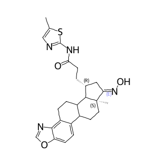 Cc1cnc(NC(=O)CC[C@@H]2C/C(=N\O)[C@@]3(C)CCC4c5ccc6ocnc6c5CCC4C23)s1